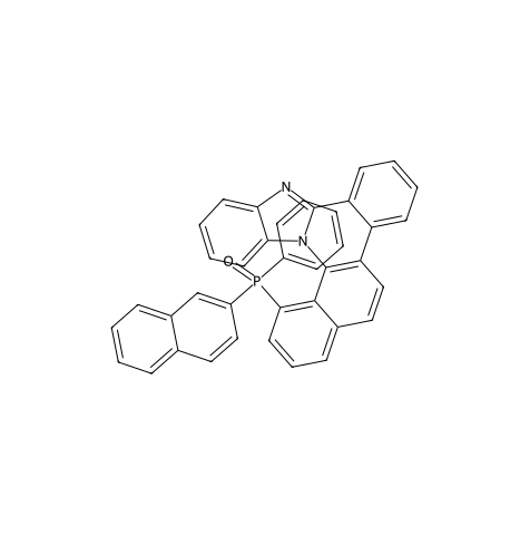 O=P(c1ccccc1)(c1ccc2ccccc2c1)c1cccc2ccc3c4ccccc4c4nc5ccccc5n4c3c12